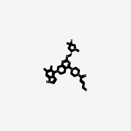 Cc1cc2[nH]ccc2c(N2CCc3c(nc(OC[C@@H]4CC(C)(F)CN4C)nc3N3CCN(C(=O)/C=C/CF)CC3)C2)c1C